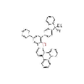 CCC1(CC)c2ccccc2-c2cc(-c3cc(-c4ccccc4)cc4c3oc3c4ccc4c5ccccc5c5ccccc5c43)ccc21